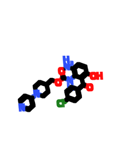 Nc1ccc(O)c(C(=O)c2ccc(Cl)cc2)c1NC(=O)OCC1CCN(c2ccncc2)CC1